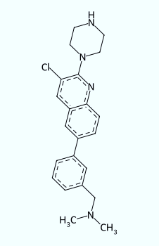 CN(C)Cc1cccc(-c2ccc3nc(N4CCNCC4)c(Cl)cc3c2)c1